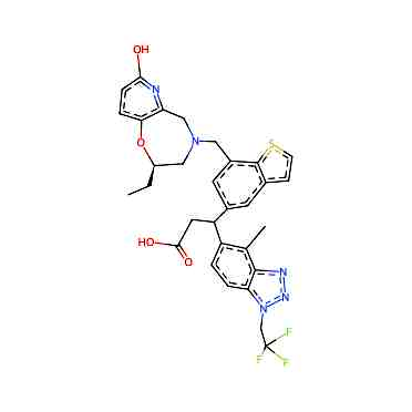 CC[C@@H]1CN(Cc2cc(C(CC(=O)O)c3ccc4c(nnn4CC(F)(F)F)c3C)cc3ccsc23)Cc2nc(O)ccc2O1